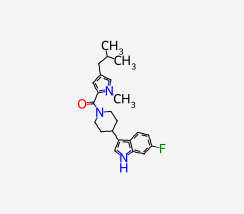 CC(C)Cc1cc(C(=O)N2CCC(c3c[nH]c4cc(F)ccc34)CC2)n(C)c1